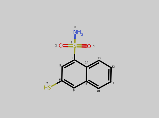 NS(=O)(=O)c1cc(S)cc2ccccc12